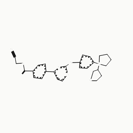 N#CCNC(=O)c1ccc(-c2ccnc(Nc3ccc([N+]4(C5CCNC5)CCCC4)cc3)n2)cc1